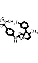 Cc1ccn2nc(Nc3ccc(C(=O)N(C)C)cc3)nc2c1-c1cccc(F)c1